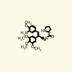 COc1ccc(/C=C(/C#N)c2cc(OC)c(OC)c(OC)c2)cc1N.NC(=O)[C@@H]1CCCN1